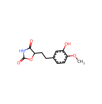 COc1ccc(CCC2OC(=O)NC2=O)cc1O